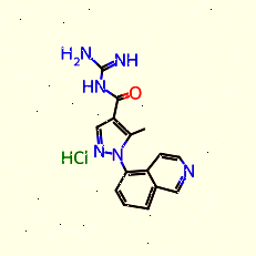 Cc1c(C(=O)NC(=N)N)cnn1-c1cccc2cnccc12.Cl